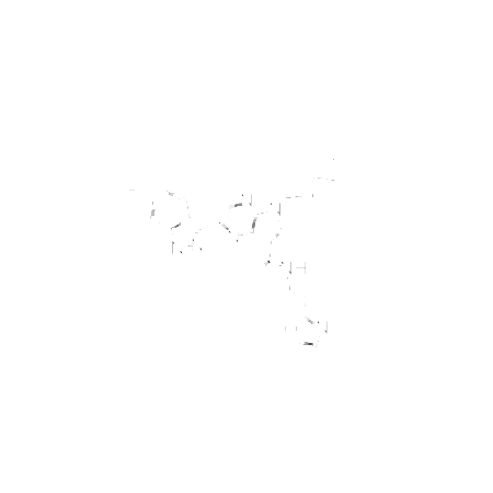 Cn1nc(-c2cnc3c(n2)c(C(=O)NCCc2ncco2)cn3COCC[Si](C)(C)C)c2ccc(F)cc21